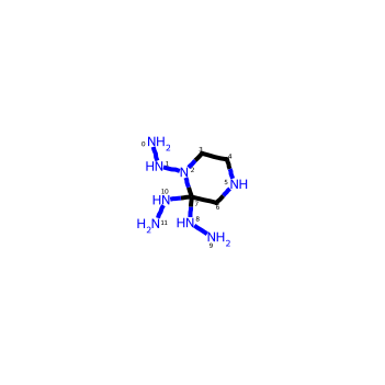 NNN1CCNCC1(NN)NN